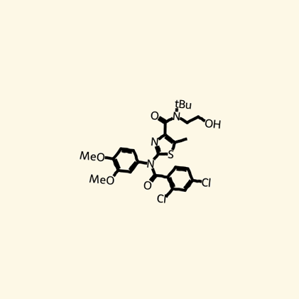 COc1ccc(N(C(=O)c2ccc(Cl)cc2Cl)c2nc(C(=O)N(CCO)C(C)(C)C)c(C)s2)cc1OC